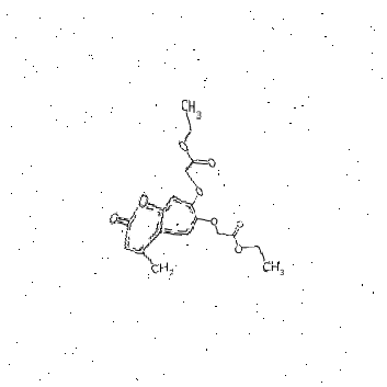 [CH2]c1cc(=O)oc2cc(OCC(=O)OCC)c(OCC(=O)OCC)cc12